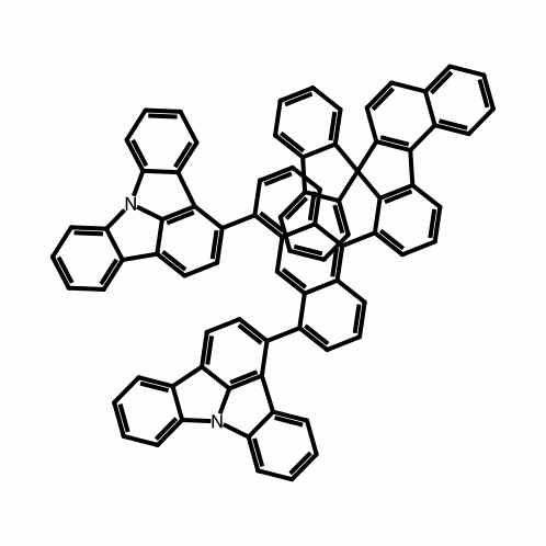 c1ccc2c(c1)-c1ccccc1C21c2ccc3ccccc3c2-c2cccc(-c3c4cccc(-c5ccc6c7ccccc7n7c8ccccc8c5c67)c4cc4c(-c5ccc6c7ccccc7n7c8ccccc8c5c67)cccc34)c21